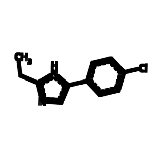 CCc1ncc(-c2ccc(Cl)cc2)[nH]1